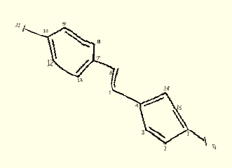 Ic1ccc(C=Cc2ccc(I)cc2)cc1